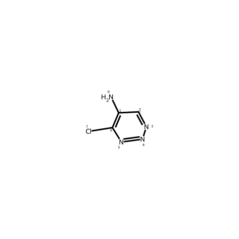 Nc1[c]nnnc1Cl